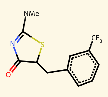 CNC1=NC(=O)C(Cc2cccc(C(F)(F)F)c2)S1